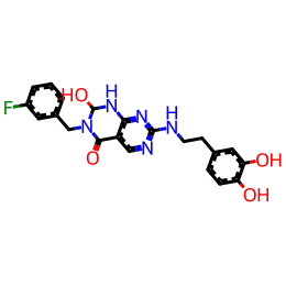 O=C1c2cnc(NCCc3ccc(O)c(O)c3)nc2NC(O)N1Cc1cccc(F)c1